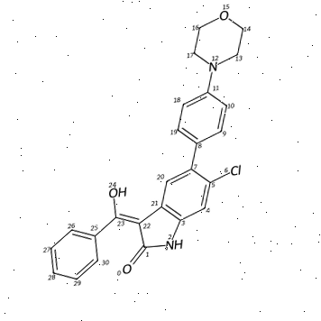 O=C1Nc2cc(Cl)c(-c3ccc(N4CCOCC4)cc3)cc2C1=C(O)c1ccccc1